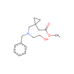 COC(=O)CC1(CN(CCO)Cc2ccccc2)CC1